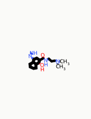 CN(C)CCCNC(=O)c1cc(N=N)c2ccccc2c1O